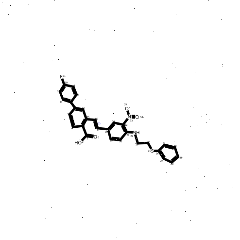 O=C(O)c1ccc(-c2ccc(F)cc2)cc1/C=C/c1ccc(NCCSc2ccccc2)c([N+](=O)[O-])c1